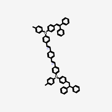 Cc1ccc(N(c2ccc(C=C(c3ccccc3)c3ccccc3)cc2)c2ccc(/C=C/c3ccc(/C=C/c4ccc(N(c5ccc(C)cc5)c5ccc(CC(c6ccccc6)c6ccccc6)cc5)cc4)cc3)cc2)cc1